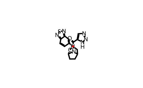 O=C(c1cnn[nH]1)N1CC2CCC(C1)N2Sc1ccc2nsnc2c1